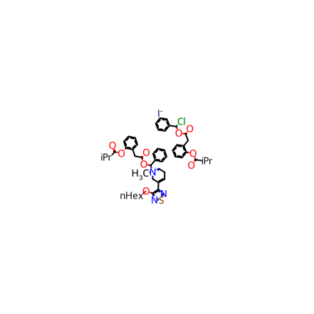 CC(C)C(=O)Oc1ccccc1CC(=O)OC(Cl)c1ccccc1.CCCCCCOc1nsnc1C1=CCC[N+](C)(C(OC(=O)Cc2ccccc2OC(=O)C(C)C)c2ccccc2)C1.[I-]